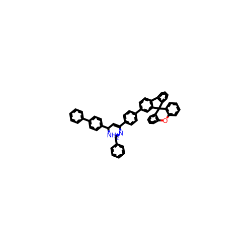 NC(/C=C(\N=C\c1ccccc1)c1ccc(-c2ccc3c(c2)C2(c4ccccc4Oc4ccccc42)c2ccccc2-3)cc1)c1ccc(-c2ccccc2)cc1